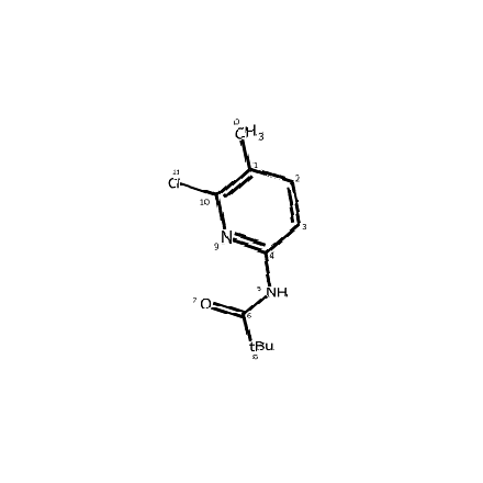 Cc1ccc(NC(=O)C(C)(C)C)nc1Cl